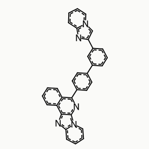 c1cc(-c2ccc(-c3nc4c(nc5ccccn54)c4ccccc34)cc2)cc(-c2cn3ccccc3n2)c1